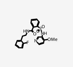 COc1ccncc1NS(=O)(=O)c1ccccc1C(=O)NCCc1ccccc1F